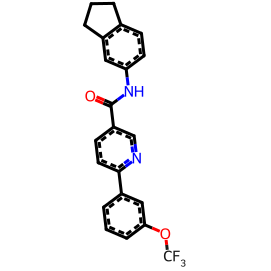 O=C(Nc1ccc2c(c1)CCC2)c1ccc(-c2cccc(OC(F)(F)F)c2)nc1